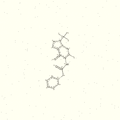 Cc1nc2c(cnn2C(C)(C)C)c(=O)n1NC(=O)Cc1ccccc1